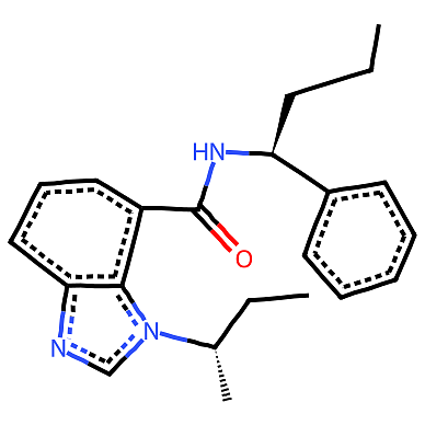 CCC[C@H](NC(=O)c1cccc2ncn([C@@H](C)CC)c12)c1ccccc1